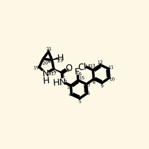 O=C(Nc1cccc(-c2ccccc2Cl)c1F)[C@H]1NCC2C[C@@H]21